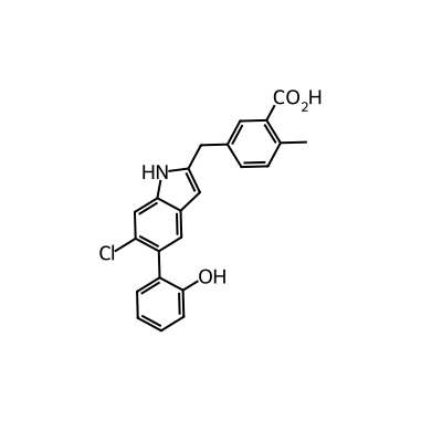 Cc1ccc(Cc2cc3cc(-c4ccccc4O)c(Cl)cc3[nH]2)cc1C(=O)O